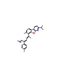 C/N=C/C(=C\C=C(/C)c1c(C)ccc2c1oc1nc(C(C)C)ccc12)c1ccc(C)cc1